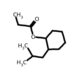 CCC(=O)OC1CCCCC1CC(C)C